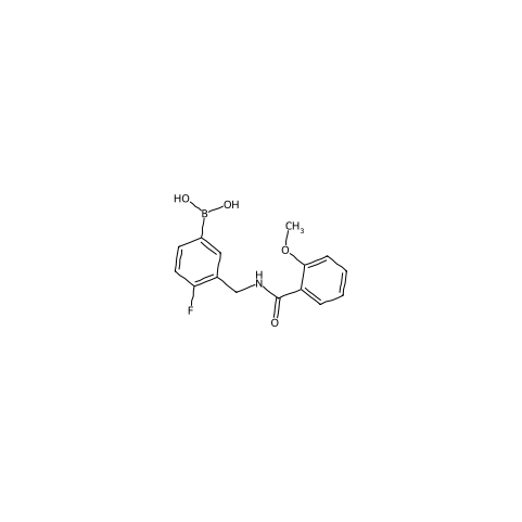 COc1ccccc1C(=O)NCc1cc(B(O)O)ccc1F